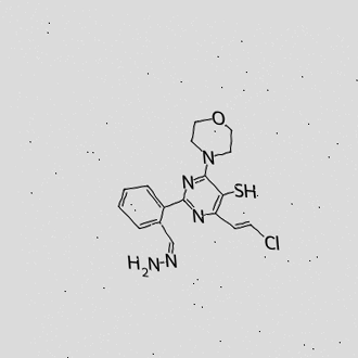 N/N=C\c1ccccc1-c1nc(/C=C/Cl)c(S)c(N2CCOCC2)n1